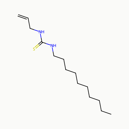 C=CCNC(=S)NCCCCCCCCCC